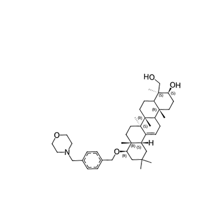 CC1(C)C[C@@H](OCc2ccc(CN3CCOCC3)cc2)[C@]2(C)CC[C@]3(C)C(=CCC4[C@@]5(C)CC[C@H](O)[C@](C)(CO)C5CC[C@]43C)[C@@H]2C1